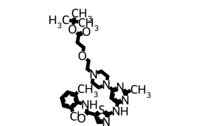 Cc1nc(Nc2ncc(C(=O)Nc3c(C)cccc3Cl)s2)cc(N2CCN(CCOCCC(=O)OC(C)(C)C)CC2)n1